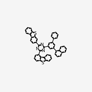 c1ccc(-c2cc(-c3nc(-c4ccc5c(c4)sc4ccccc45)nc(-c4cccc5sc6ccccc6c45)n3)cc(-c3cccc4ccccc34)c2)cc1